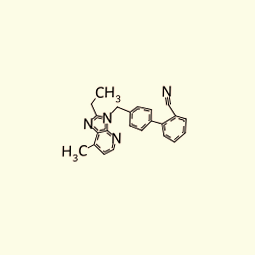 CCc1nc2c(C)ccnc2n1Cc1ccc(-c2ccccc2C#N)cc1